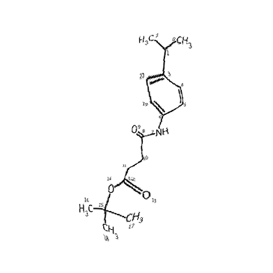 CC(C)c1ccc(NC(=O)CCC(=O)OC(C)(C)C)cc1